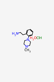 CN1CCN(c2ccccc2CCN)CC1.Cl.O